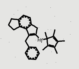 CC1=C(C)[C](C)([Hf][C]2=C(Cc3ccccc3)c3c(ccc4c3CCC4)C2)C(C)=C1C